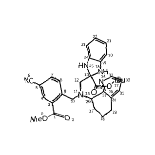 COC(=O)c1cc(C#N)ccc1CN(CC1(C(=O)OC(C)(C)C)Nc2ccccc2N1)C1CCCc2cccnc21